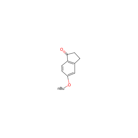 CCCCOc1ccc2c(c1)CCC2=O